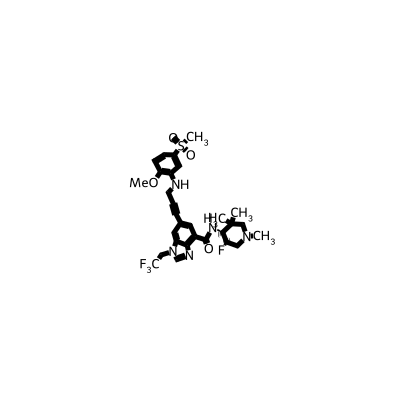 COc1ccc(S(C)(=O)=O)cc1NCC#Cc1cc(C(=O)N[C@H]2[C@H](F)CN(C)CC2(C)C)c2ncn(CC(F)(F)F)c2c1